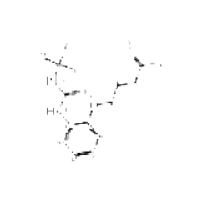 CC(=O)CCCOc1ccccc1NC(=O)NC(C)(C)C